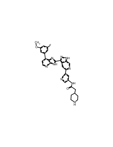 COc1cc(F)cc(-c2ccnc3[nH]c(-c4n[nH]c5cnc(-c6cncc(NC(=O)CC7CCNCC7)c6)cc45)nc23)c1